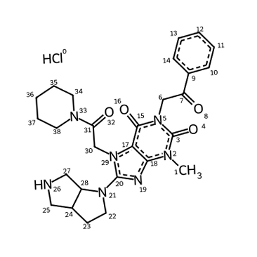 Cl.Cn1c(=O)n(CC(=O)c2ccccc2)c(=O)c2c1nc(N1CCC3CNCC31)n2CC(=O)N1CCCCC1